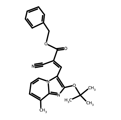 Cc1cccn2c(C=C(C#N)C(=O)OCc3ccccc3)c(OC(C)(C)C)nc12